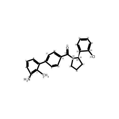 Cc1c(N)cccc1-c1ccc(C(=O)N2CCC[C@@H]2c2ccccc2Cl)cc1